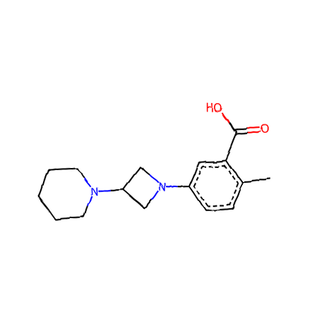 Cc1ccc(N2CC(N3CCCCC3)C2)cc1C(=O)O